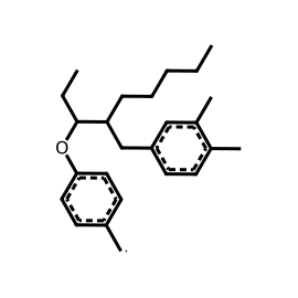 [CH2]c1ccc(OC(CC)C(CCCCC)Cc2ccc(C)c(C)c2)cc1